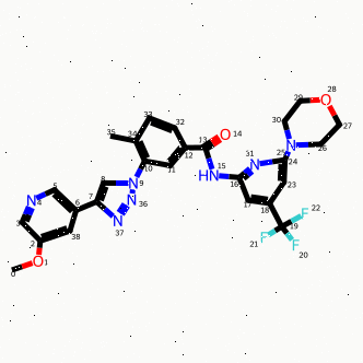 COc1cncc(-c2cn(-c3cc(C(=O)Nc4cc(C(F)(F)F)cc(N5CCOCC5)n4)ccc3C)nn2)c1